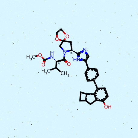 COC(=O)N[C@H](C(=O)N1CC2(C[C@H]1c1ncc(-c3ccc(-c4ccc(O)c5c4C4CCC4C5)cc3)[nH]1)OCCO2)C(C)C